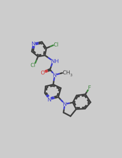 CN(C(=O)Nc1c(Cl)cncc1Cl)c1ccnc(N2CCc3ccc(F)cc32)c1